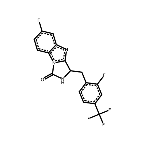 O=C1NC(Cc2ccc(C(F)(F)F)cc2F)c2nc3cc(F)ccc3n21